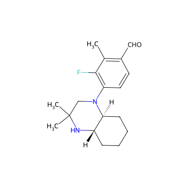 Cc1c(C=O)ccc(N2CC(C)(C)N[C@H]3CCCC[C@@H]32)c1F